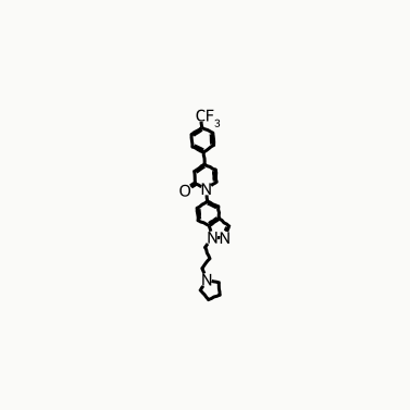 O=c1cc(-c2ccc(C(F)(F)F)cc2)ccn1-c1ccc2c(cnn2CCCN2CCCC2)c1